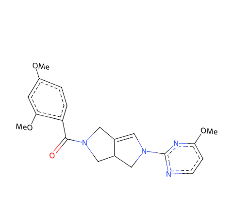 COc1ccc(C(=O)N2CC3=CN(c4nccc(OC)n4)CC3C2)c(OC)c1